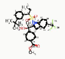 C=CC(c1cccc(C(C)(C)C)c1)S(=O)(=O)n1c(C(C)(O)c2ccc(C(=O)OC)cc2)cc2cc(C(F)(F)F)ccc21